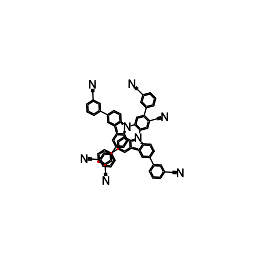 N#Cc1cccc(-c2ccc3c(c2)c2cc(-c4cccc(C#N)c4)ccc2n3-c2cc(C#N)c(-c3cccc(C#N)c3)cc2-n2c3ccc(-c4cccc(C#N)c4)cc3c3cc(-c4cccc(C#N)c4)ccc32)c1